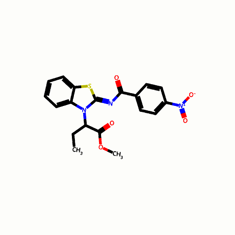 CCC(C(=O)OC)n1c(=NC(=O)c2ccc([N+](=O)[O-])cc2)sc2ccccc21